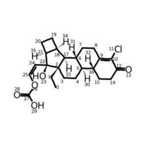 CC[C@]12CC[C@H]3[C@@H](CCC4=C(Cl)C(=O)CC[C@@H]43)[C@@H]1[C@@H]1CC[C@@H]1[C@@]2(O)/C=C\OC(=O)O